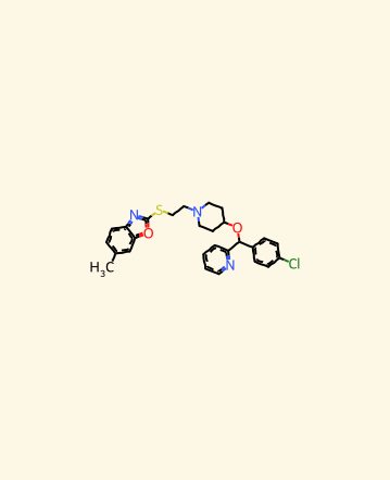 Cc1ccc2nc(SCCN3CCC(OC(c4ccc(Cl)cc4)c4ccccn4)CC3)oc2c1